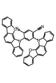 N#Cc1cc(C#N)c(-n2c3ccccc3c3ccc4c5ccccc5oc4c32)cc1-n1c2ccccc2c2ccc3c4ccccc4oc3c21